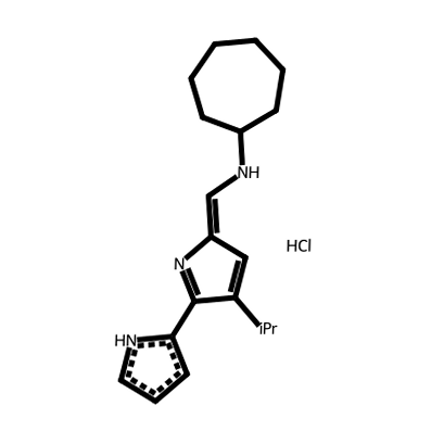 CC(C)C1=CC(=CNC2CCCCCC2)N=C1c1ccc[nH]1.Cl